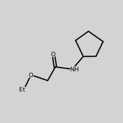 CCOCC(=O)NC1CCCC1